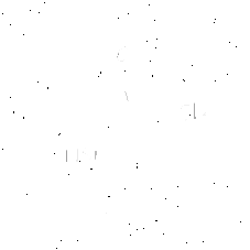 C[SiH](C)[Ti]([Cl])[Cl]